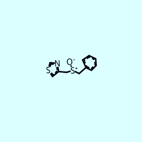 [O-][S+](Cc1ccccc1)Cc1cscn1